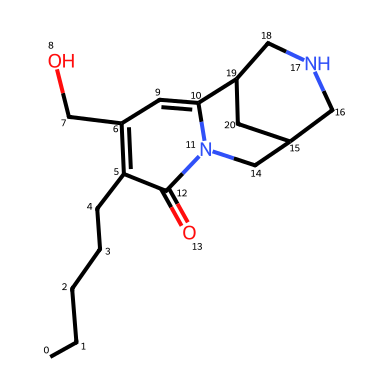 CCCCCc1c(CO)cc2n(c1=O)CC1CNCC2C1